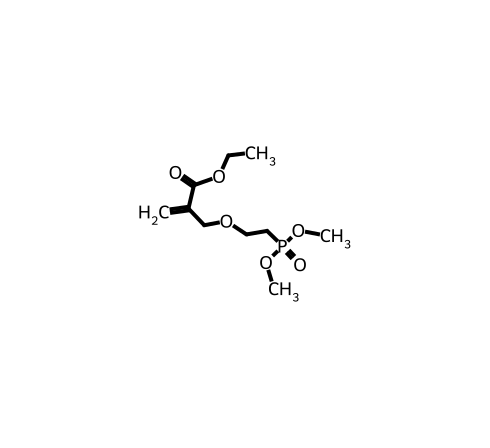 C=C(COCCP(=O)(OC)OC)C(=O)OCC